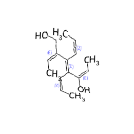 C\C=C/C(C(/O)=C\C)=C(/C=C\C)C(=C/C)\CO